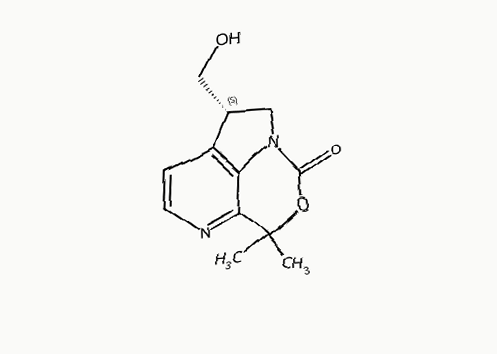 CC1(C)OC(=O)N2C[C@@H](CO)c3ccnc1c32